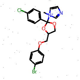 C[N+]1(C2(c3ccc(Cl)cc3)OCC(COc3ccc(Br)cc3)O2)C=CN=C1